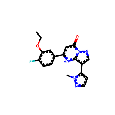 CCOc1cc(-c2cc(=O)n3ncc(-c4ccnn4C)c3[nH]2)ccc1F